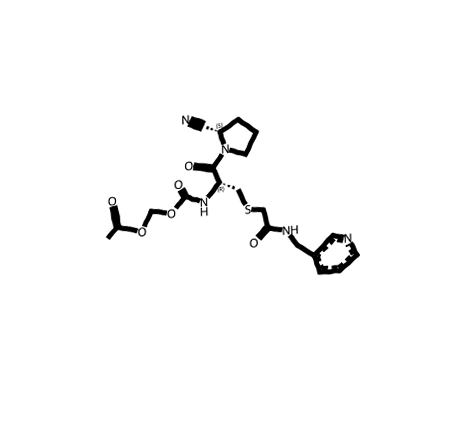 CC(=O)OCOC(=O)N[C@@H](CSCC(=O)NCc1cccnc1)C(=O)N1CCC[C@H]1C#N